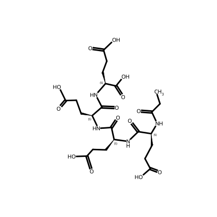 CCC(=O)N[C@@H](CCC(=O)O)C(=O)N[C@@H](CCC(=O)O)C(=O)N[C@@H](CCC(=O)O)C(=O)N[C@@H](CCC(=O)O)C(=O)O